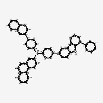 c1ccc(-c2cccc3c2oc2ccc(-c4ccc(N(c5ccc(-c6ccc7ccccc7c6)cc5)c5ccc6c(ccc7ccccc76)c5)cc4)cc23)cc1